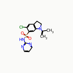 C=C(C)N1CCc2cc(Cl)c(S(=O)(=O)Nc3ncccn3)cc21